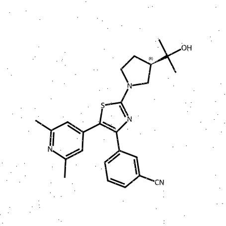 Cc1cc(-c2sc(N3CC[C@@H](C(C)(C)O)C3)nc2-c2cccc(C#N)c2)cc(C)n1